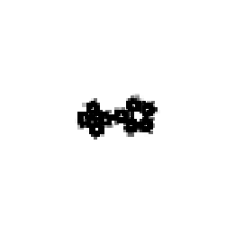 c1ccc2c(c1)-c1ccccc1C21c2ccccc2-c2cc(-c3ccc4c(c3)c3cccc5c6ccccc6c6cccc7sc8cccc(c8c76)n4c53)ccc21